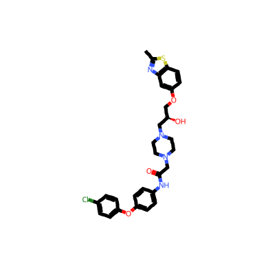 Cc1nc2cc(OC[C@@H](O)CN3CCN(CC(=O)Nc4ccc(Oc5ccc(Cl)cc5)cc4)CC3)ccc2s1